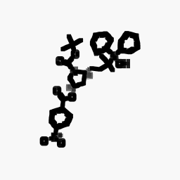 CC(C)(C)OC(=O)N1C[C@@H](OC(=O)c2ccc([N+](=O)[O-])cc2)C[C@H]1CCC(C)(C)[Si](O)(c1ccccc1)c1ccccc1